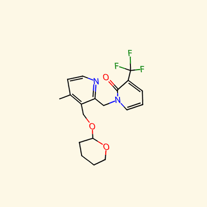 Cc1ccnc(Cn2cccc(C(F)(F)F)c2=O)c1COC1CCCCO1